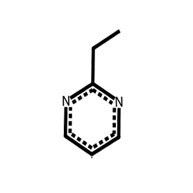 CCc1nc[c]cn1